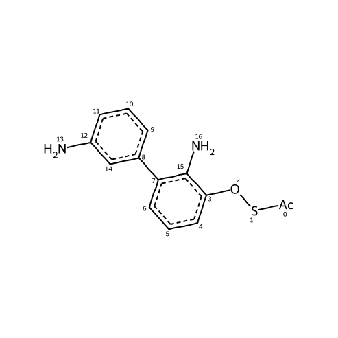 CC(=O)SOc1cccc(-c2cccc(N)c2)c1N